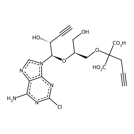 C#CCC(OC[C@H](CO)O[C@H]([C@H](O)C#C)n1cnc2c(N)nc(Cl)nc21)(C(=O)O)C(=O)O